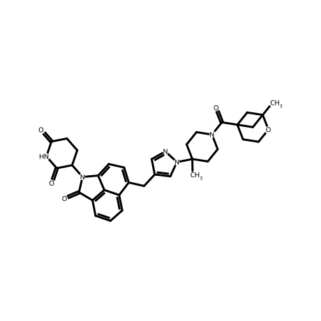 CC12CC(C(=O)N3CCC(C)(n4cc(Cc5ccc6c7c(cccc57)C(=O)N6C5CCC(=O)NC5=O)cn4)CC3)(CCO1)C2